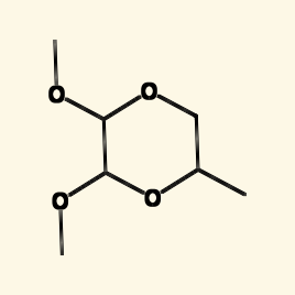 COC1OCC(C)OC1OC